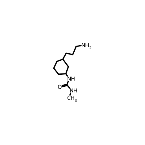 CNC(=O)NC1CCCC(CCCN)C1